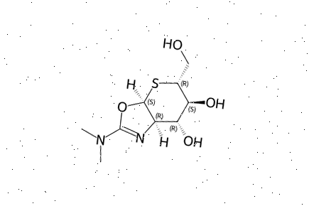 CN(C)C1=N[C@@H]2[C@@H](O)[C@H](O)[C@@H](CO)S[C@@H]2O1